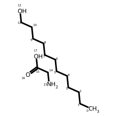 CCCCCCCCCCCCO.NCC(=O)O